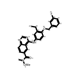 CON(C)C(=O)c1ccc2ncnc(Nc3ccc(OCc4cccc(F)c4)c(CI)c3)c2c1